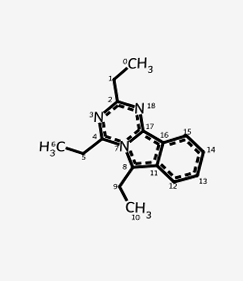 CCc1nc(CC)n2c(CC)c3ccccc3c2n1